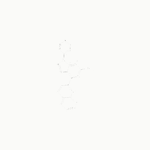 Nc1nc(-c2ccc3ccccc3n2)c2ncn(-c3ccccc3)c2n1